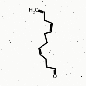 C=CC/C=C\CC/C=C\CCC=O